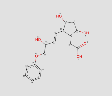 O=C(O)CC1C(O)CC(O)C1C=CC(O)COc1ccccc1